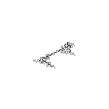 COC1C(OC(=O)NCCOCCOCCNC(=O)CNN[C@@H](CC(C)C)C(=O)C(=O)CNC(=O)CN)CC[C@]2(CO2)C1C1(C)O[C@@H]1CC=C(C)C